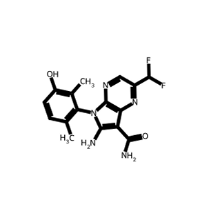 Cc1ccc(O)c(C)c1-n1c(N)c(C(N)=O)c2nc(C(F)F)cnc21